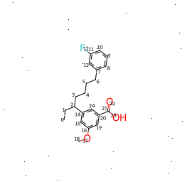 CCC(CCCCc1cccc(F)c1)c1cc(OC)cc(C(=O)O)c1